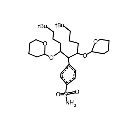 CC(C)(C)CCCC(OC1CCCCO1)C(c1ccc(S(N)(=O)=O)cc1)C(CCCC(C)(C)C)OC1CCCCO1